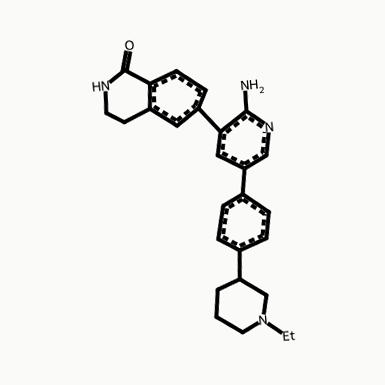 CCN1CCCC(c2ccc(-c3cnc(N)c(-c4ccc5c(c4)CCNC5=O)c3)cc2)C1